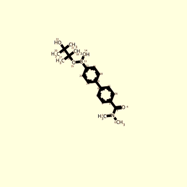 CN(C)C(=O)c1ccc(-c2ccc(B(O)OC(C)(C)C(C)(C)O)cc2)cc1